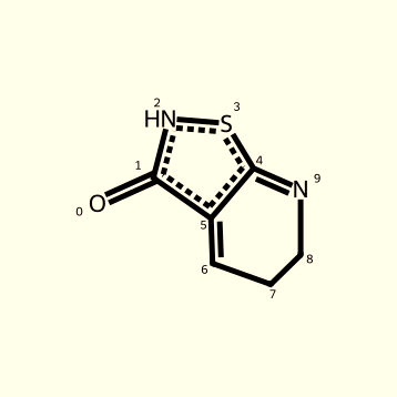 O=c1[nH]sc2c1=CCCN=2